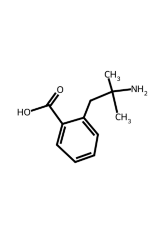 CC(C)(N)Cc1ccccc1C(=O)O